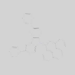 C1=Cc2c(-n3c4ccc(-c5ccccc5)nc4c4c5sc6ccccc6c5ccc43)cc3cccc4c3c2C(=CC4)C1